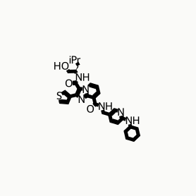 CC(C)C[C@@H](CO)NC(=O)c1c(-c2ccsc2)nc2c(C(=O)NCc3ccc(NC4CCCCC4)nc3)cccn12